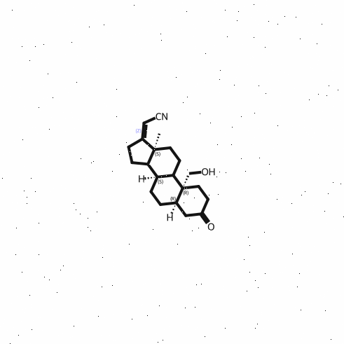 C[C@]12CCC3[C@@H](CC[C@@H]4CC(=O)CC[C@]34CO)C1CC/C2=C/C#N